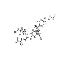 C=C(C)C(=O)OCC(COC(=O)C(C)(C)CO)Cc1ccc(OC(=O)C2CCC(CCCCC)CC2)c(CC)c1